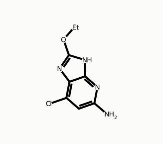 CCOc1nc2c(Cl)cc(N)nc2[nH]1